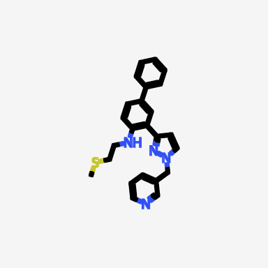 CSCCNc1ccc(-c2ccccc2)cc1-c1ccn(Cc2cccnc2)n1